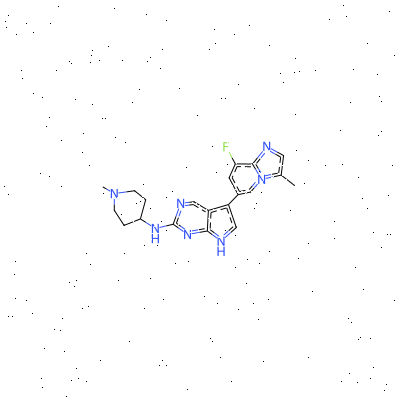 Cc1cnc2c(F)cc(-c3c[nH]c4nc(NC5CCN(C)CC5)ncc34)cn12